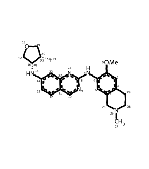 COc1cc2c(cc1Nc1ncc3ccc(N[C@@H]4COC[C@@H]4F)cc3n1)CN(C)CC2